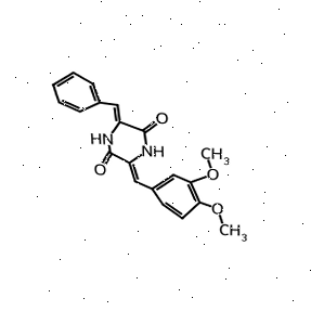 COc1ccc(C=c2[nH]c(=O)c(=Cc3ccccc3)[nH]c2=O)cc1OC